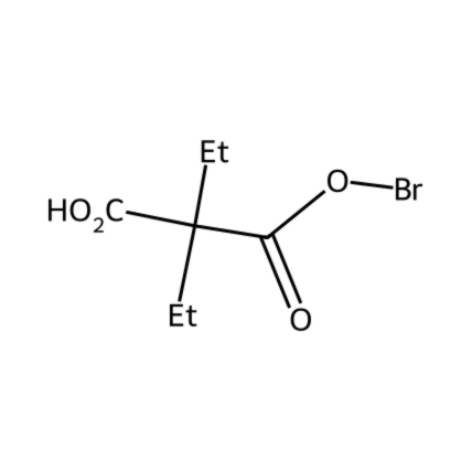 CCC(CC)(C(=O)O)C(=O)OBr